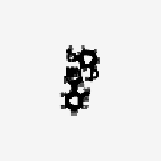 COc1cccc(OC)c1-n1cc(-c2ccccc2C)nn1